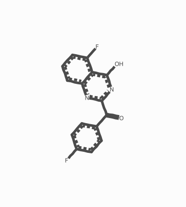 O=C(c1ccc(F)cc1)c1nc(O)c2c(F)cccc2n1